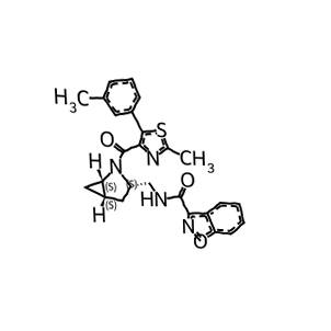 Cc1cccc(-c2sc(C)nc2C(=O)N2[C@H](CNC(=O)c3noc4ccccc34)C[C@@H]3C[C@@H]32)c1